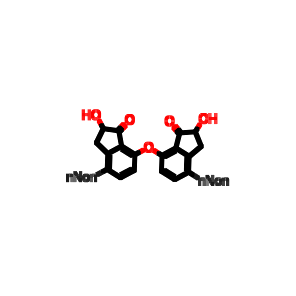 CCCCCCCCCc1ccc(Oc2ccc(CCCCCCCCC)c3c2C(=O)C(O)C3)c2c1CC(O)C2=O